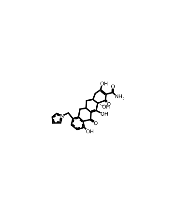 NC(=O)C1=C(O)CC2CC3Cc4c(Cn5cccc5)ccc(O)c4C(=O)C3=C(O)[C@]2(O)C1=O